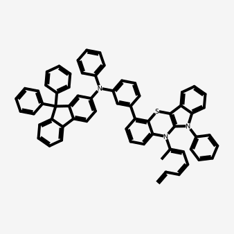 C=C/C=C\C=C(/C)N1c2cccc(-c3cccc(N(c4ccccc4)c4ccc5c(c4)C(c4ccccc4)(c4ccccc4)c4ccccc4-5)c3)c2Sc2c1n(-c1ccccc1)c1ccccc21